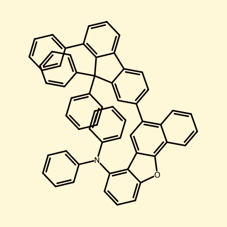 c1ccc(-c2cccc3c2C(c2ccccc2)(c2ccccc2)c2cc(-c4cc5c(oc6cccc(N(c7ccccc7)c7ccccc7)c65)c5ccccc45)ccc2-3)cc1